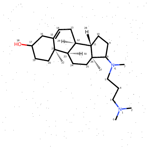 CN(C)CCCN(C)C1CC[C@H]2[C@@H]3CC=C4CC(O)CC[C@]4(C)[C@@H]3CC[C@]12C